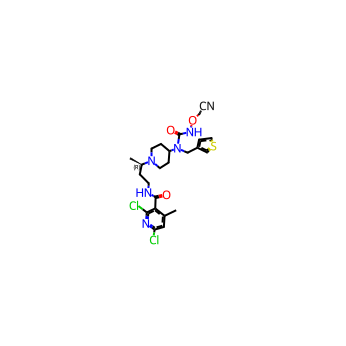 Cc1cc(Cl)nc(Cl)c1C(=O)NCC[C@@H](C)N1CCC(N(Cc2ccsc2)C(=O)NOCC#N)CC1